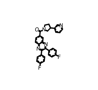 O=C(c1ccc2nc(-c3ccc(F)cc3)c(-c3ccc(F)cc3)nc2c1)N1CCC(c2cccnc2)C1